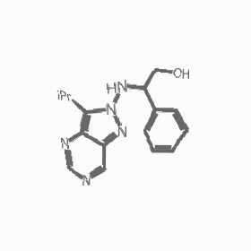 CC(C)c1c2ncncc2nn1NC(CO)c1ccccc1